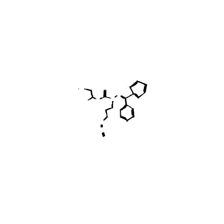 CC(C)CC(NC(=O)N(CCCN=[N+]=[N-])N=C(c1ccccc1)c1ccccc1)C(=O)O